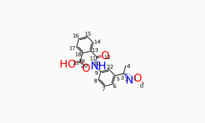 CO/N=C(\C)c1cccc(NC(=O)c2ccccc2C(=O)O)c1